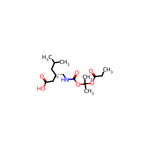 CCC(=O)OC(C)(C)OC(=O)NC[C@H](CC(=O)O)CC(C)C